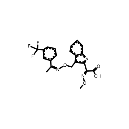 CON=C(C(=O)O)c1sc2ccccc2c1CON=C(C)c1cccc(C(F)(F)F)c1